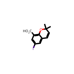 CC1(C)C=Cc2cc(I)cc(C(=O)O)c2O1